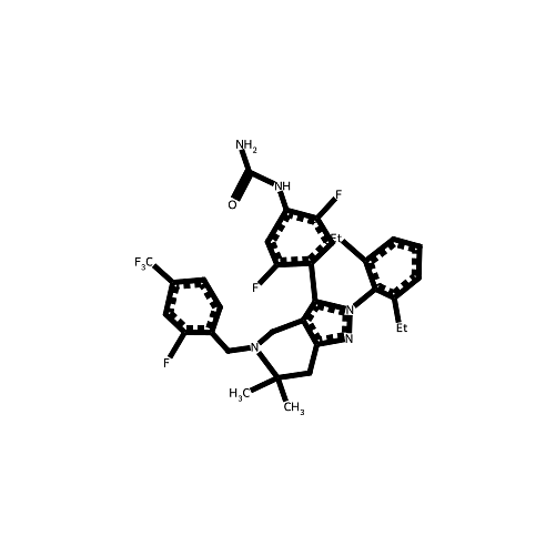 CCc1cccc(CC)c1-n1nc2c(c1-c1cc(F)c(NC(N)=O)cc1F)CN(Cc1ccc(C(F)(F)F)cc1F)C(C)(C)C2